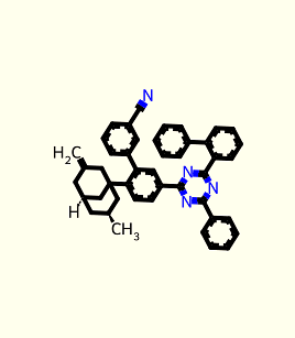 C=C1C[C@@H]2C[C@H](C)CC(c3ccc(-c4nc(-c5ccccc5)nc(-c5ccccc5-c5ccccc5)n4)cc3-c3cccc(C#N)c3)(C1)C2